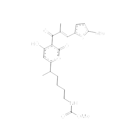 CCCCc1ccc(C=C(C)C(=O)c2c(O)cc(C(C)CCCCNC(=O)OC)oc2=O)s1